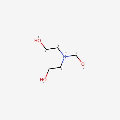 [O]CN(CCO)CCO